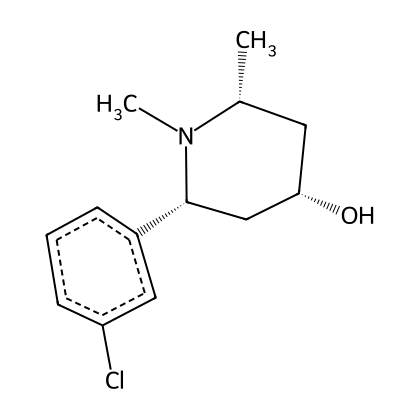 C[C@@H]1C[C@H](O)C[C@H](c2cccc(Cl)c2)N1C